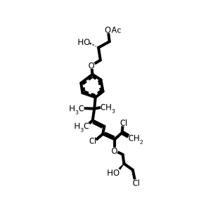 C=C(Cl)/C(OC[C@H](O)CCl)=C(Cl)\C=C(/C)C(C)(C)c1ccc(OC[C@H](O)COC(C)=O)cc1